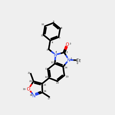 CCn1c(=O)n(Cc2ccccc2)c2cc(-c3c(C)noc3C)ccc21